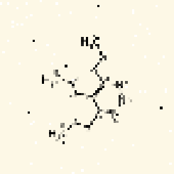 CCCc1nnnc(CCC)c1CCC